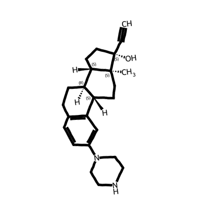 C#C[C@]1(O)CC[C@H]2[C@@H]3CCc4ccc(N5CCNCC5)cc4[C@H]3CC[C@@]21C